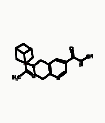 CC(=O)N1CC2CC(C1)C2CN1CCc2ncc(C(=O)NO)cc2C1